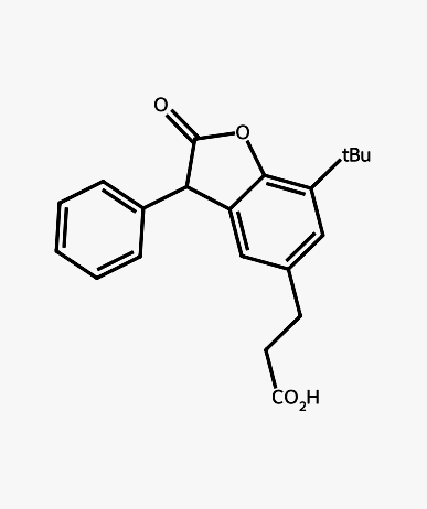 CC(C)(C)c1cc(CCC(=O)O)cc2c1OC(=O)C2c1ccccc1